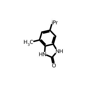 Cc1cc(C(C)C)cc2[nH]c(=O)[nH]c12